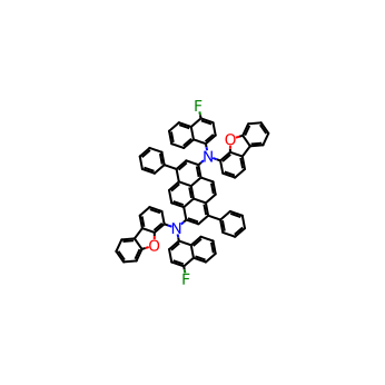 Fc1ccc(N(c2cc(-c3ccccc3)c3ccc4c(N(c5ccc(F)c6ccccc56)c5cccc6c5oc5ccccc56)cc(-c5ccccc5)c5ccc2c3c54)c2cccc3c2oc2ccccc23)c2ccccc12